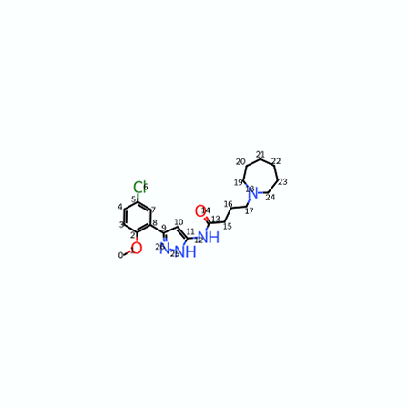 COc1ccc(Cl)cc1-c1cc(NC(=O)CCCN2CCCCCC2)[nH]n1